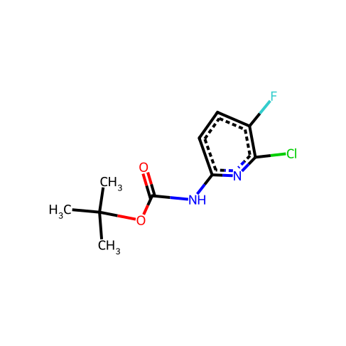 CC(C)(C)OC(=O)Nc1ccc(F)c(Cl)n1